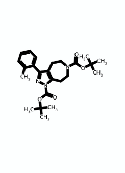 Cc1ccccc1-c1nn(C(=O)OC(C)(C)C)c2c1CCN(C(=O)OC(C)(C)C)CC2